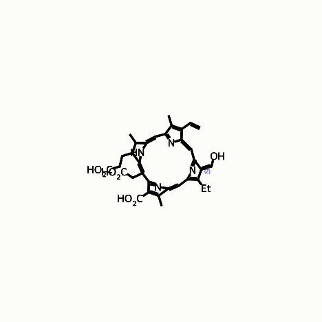 C=CC1=C(C)C2=NC1=CC1=NC(=C(CC)/C1=C/O)C=C1N=C(C(CC(=O)O)=C3NC(=C2)C(C)C3CCC(=O)O)C(C(=O)O)=C1C